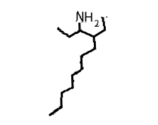 [CH2]CC(CCCCCCCC)C(N)CC